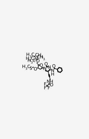 CSCOC1C[C@H](n2cc(C#CCNC(=O)C(F)(F)F)c(NC(=O)c3ccccc3)nc2=O)O[C@@H]1CO[Si](C)(C)C(C)(C)C